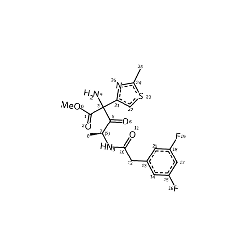 COC(=O)C(N)(C(=O)[C@H](C)NC(=O)Cc1cc(F)cc(F)c1)c1csc(C)n1